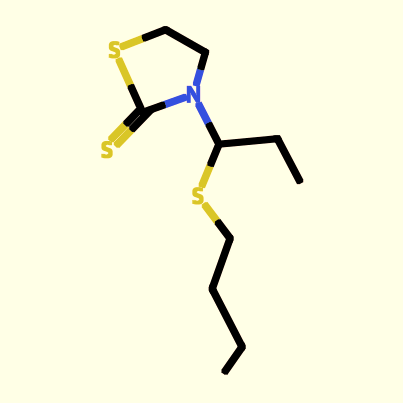 CCCCSC(CC)N1CCSC1=S